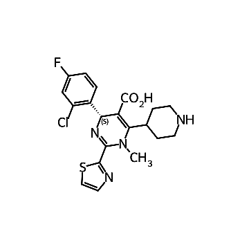 CN1C(c2nccs2)=N[C@H](c2ccc(F)cc2Cl)C(C(=O)O)=C1C1CCNCC1